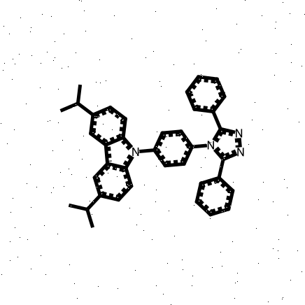 CC(C)c1ccc2c(c1)c1cc(C(C)C)ccc1n2-c1ccc(-n2c(-c3ccccc3)nnc2-c2ccccc2)cc1